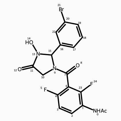 CC(=O)Nc1ccc(F)c(C(=O)N2CC(=O)N(O)C2c2cccc(Br)c2)c1F